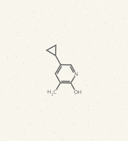 [CH2]c1cc(C2CC2)cnc1O